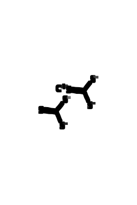 S=C([S-])[S-].S=C([S-])[S-].[C+4]